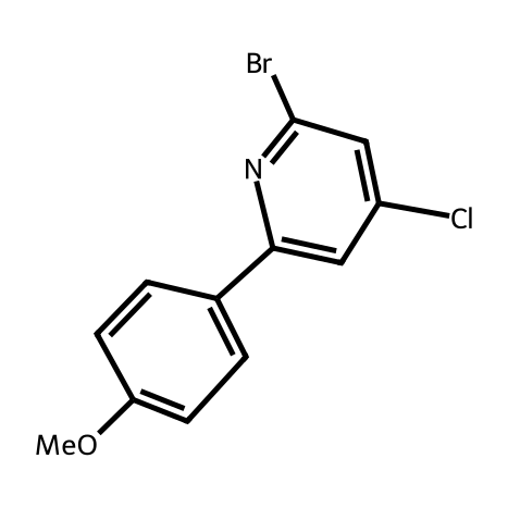 COc1ccc(-c2cc(Cl)cc(Br)n2)cc1